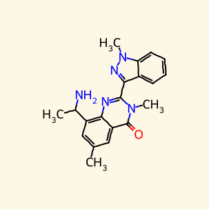 Cc1cc(C(C)N)c2nc(-c3nn(C)c4ccccc34)n(C)c(=O)c2c1